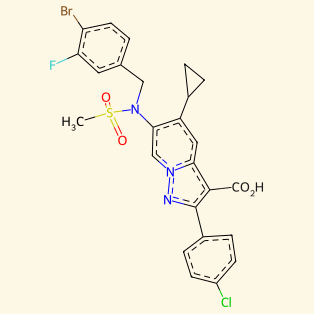 CS(=O)(=O)N(Cc1ccc(Br)c(F)c1)c1cn2nc(-c3ccc(Cl)cc3)c(C(=O)O)c2cc1C1CC1